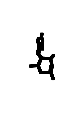 CON=CC1C(C)C=C(C)CC1C